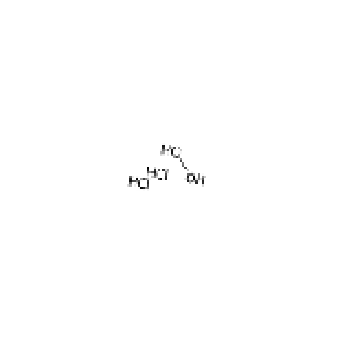 Cl.Cl.OO